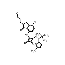 Cc1ccc([C@H](Nc2c(Nc3ccc(Cl)c4c3C(=O)N(CCC=O)C4)c(=O)c2=O)C(C)(C)C)o1